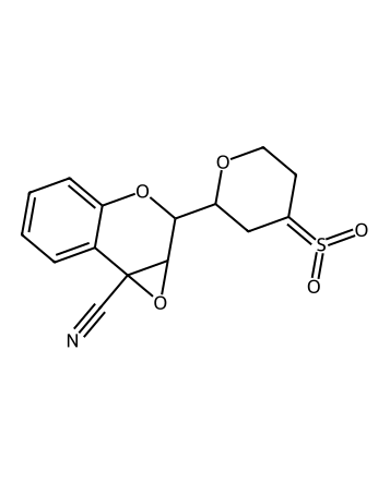 N#CC12OC1C(C1CC(=S(=O)=O)CCO1)Oc1ccccc12